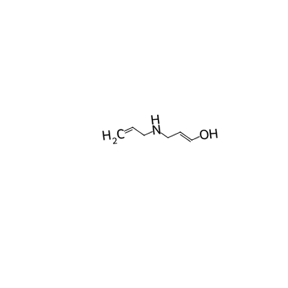 C=CCNCC=CO